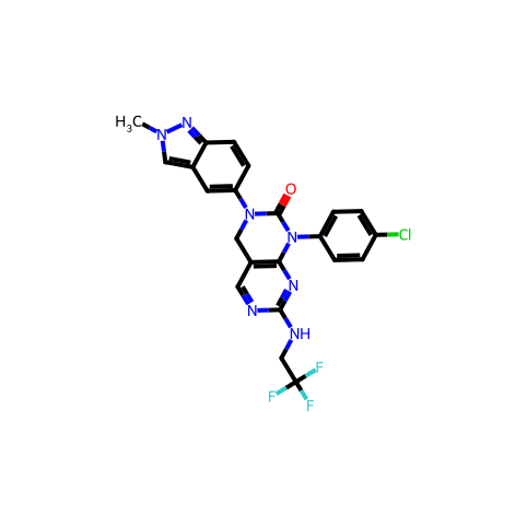 Cn1cc2cc(N3Cc4cnc(NCC(F)(F)F)nc4N(c4ccc(Cl)cc4)C3=O)ccc2n1